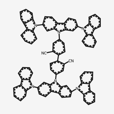 N#Cc1cc(-n2c3cc(-n4c5ccccc5c5ccccc54)ccc3c3ccc(-n4c5ccccc5c5ccccc54)cc32)ccc1-c1ccc(-n2c3cc(-n4c5ccccc5c5ccccc54)ccc3c3ccc(-n4c5ccccc5c5ccccc54)cc32)cc1C#N